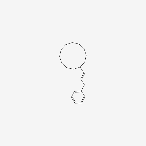 C(=CC1CCCCCCCCCCC1)Cc1ccccc1